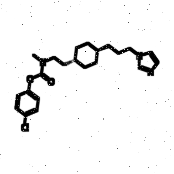 CN(CC[C@H]1CC[C@H](CCCn2ccnc2)CC1)C(=O)Oc1ccc(Cl)cc1